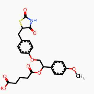 COc1ccc(C(COc2ccc(CC3SC(=O)NC3=O)cc2)OC(=O)CCCC(=O)O)cc1